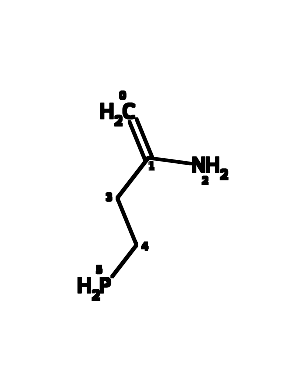 C=C(N)CCP